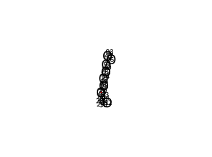 CC(C)(C)OC(=O)CCOCCOCCOCCOCCOc1ccc2c(c1)CCCC2=O